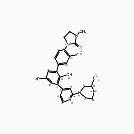 CN1CCN(c2ccc(-c3cc(F)cc(-c4ccnc(N5CCNC(C(F)(F)F)C5)c4)c3O)cc2Cl)C1=O